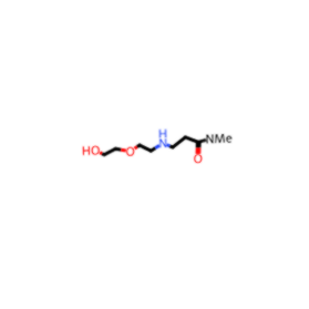 CNC(=O)CCNCCOCCO